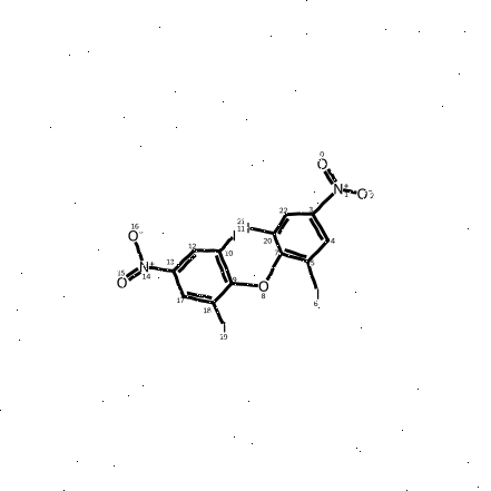 O=[N+]([O-])c1cc(I)c(Oc2c(I)cc([N+](=O)[O-])cc2I)c(I)c1